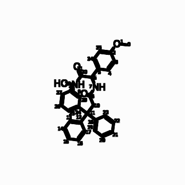 COc1ccc(C(NC(=O)CC(c2ccccc2)(c2ccccc2)c2ccccc2)C(=O)NO)cc1